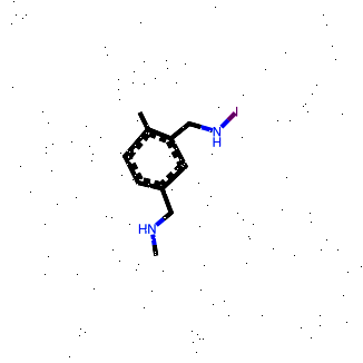 CNCc1ccc(C)c(CNI)c1